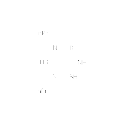 CCCN1BNBN(CCC)B1